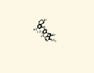 N#Cc1cc2c(c(OC3CC(n4cc(Br)c5c(N)ncnc54)[C@H](O)[C@@H]3O)c1)CNCC2